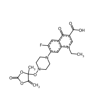 C=C1OC(=O)OC1(C)ON1CCN(c2cc3c(cc2F)c(=O)c(C(=O)O)cn3CC)CC1